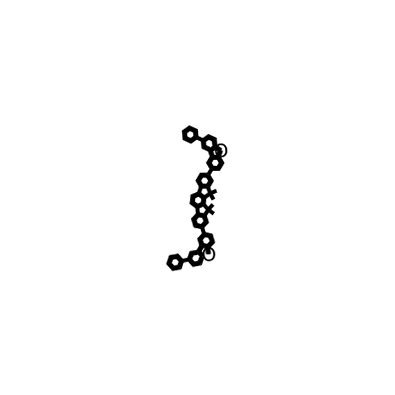 CC1(C)c2cc(-c3ccc4oc5ccc(-c6ccccc6)cc5c4c3)ccc2-c2ccc3c(c21)C(C)(C)c1cc(-c2ccc4oc5ccc(-c6ccccc6)cc5c4c2)ccc1-3